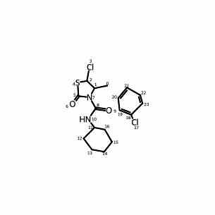 CC1C(Cl)SC(=O)N1C(=O)NC1CCCCC1.Clc1ccccc1